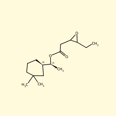 CCC1OC1CC(=O)O[C@@H](C)[C@@H]1CCCC(C)(C)C1